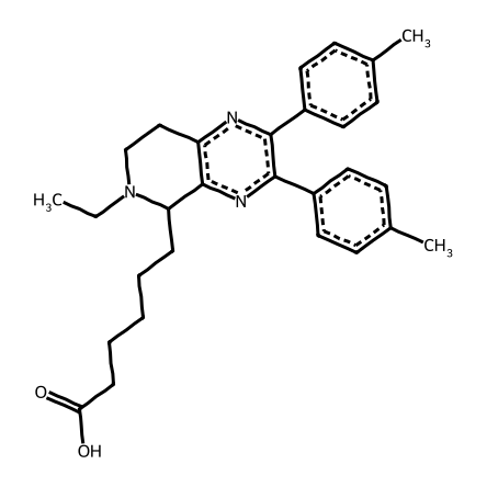 CCN1CCc2nc(-c3ccc(C)cc3)c(-c3ccc(C)cc3)nc2C1CCCCCC(=O)O